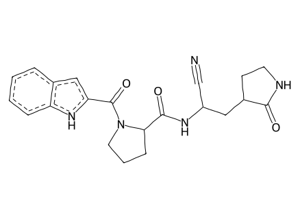 N#CC(CC1CCNC1=O)NC(=O)C1CCCN1C(=O)c1cc2ccccc2[nH]1